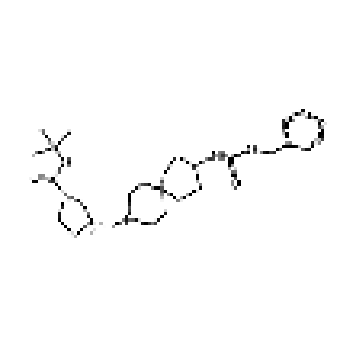 CC(C)(C)OC(=O)N1CC[C@@H](CN2CCC3(CCC(NC(=O)OCc4ccccc4)CC3)CC2)C1